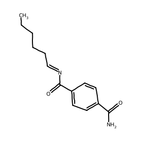 CCCCCC=NC(=O)c1ccc(C(N)=O)cc1